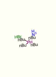 Br.CCCC[PH](CCCC)(CCCC)CCCC.N